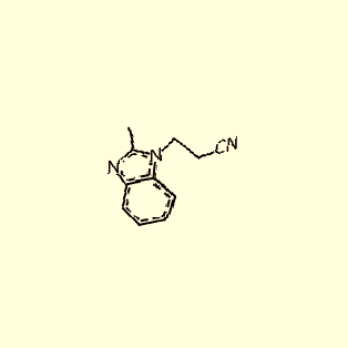 Cc1nc2ccccc2n1CCC#N